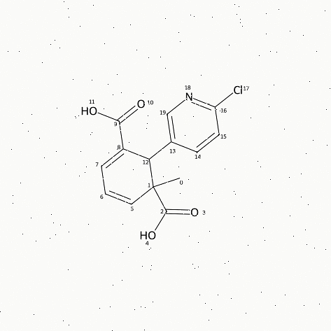 CC1(C(=O)O)C=CC=C(C(=O)O)C1c1ccc(Cl)nc1